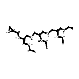 CCOCC(COCC(COCC(COCC)OCC1CO1)OCC)OCC